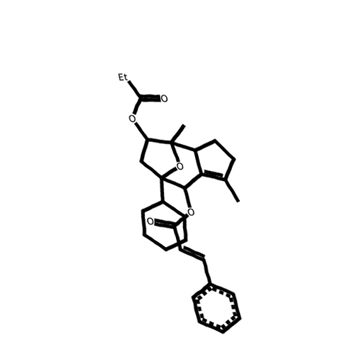 CCC(=O)OC1CC2(C3CCCCC3)OC1(C)C1CCC(C)=C1C2OC(=O)/C=C/c1ccccc1